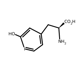 N[C@@H](CC1=CC=IC(O)=C1)C(=O)O